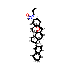 CCC[N+](C)([O-])[C@@H]1CCC2=CC3=CC[C@]4(C)[C@@H](c5ccc6ccccc6c5)CC[C@H]4[C@@]34CC[C@]2(C1)O4